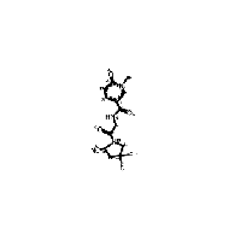 Cn1cc(C(=O)NCC(=O)N2CC(F)(F)CC2C#N)ccc1=O